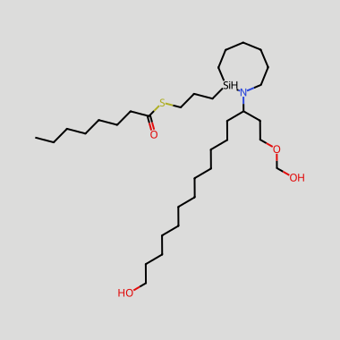 CCCCCCCC(=O)SCCC[SiH]1CCCCCCN1C(CCCCCCCCCCCCO)CCOCO